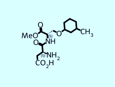 COC(=O)[C@H](COC1CCCC(C)C1)NC(=O)[C@@H](N)CC(=O)O